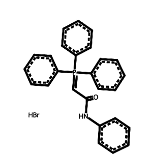 Br.O=C(C=P(c1ccccc1)(c1ccccc1)c1ccccc1)Nc1ccccc1